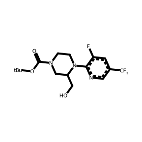 CC(C)(C)OC(=O)N1CCN(c2ncc(C(F)(F)F)cc2F)C(CO)C1